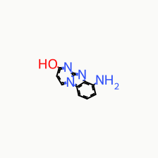 Nc1cccc2c1nc1nc(O)ccn12